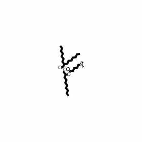 CCCCCCCCC(COC(=O)C(CCCCCCC)CCCCCCC)OC(=O)CCCCN(C)C